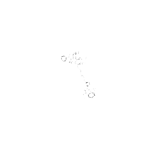 COc1ccccc1C(CO)C(=O)NC(=N)SC(=N)CCSCCc1nnc(NC(=O)C(CO)c2ccccc2OC)s1